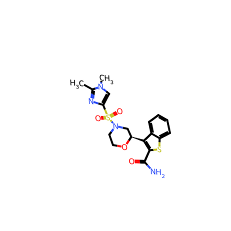 Cc1nc(S(=O)(=O)N2CCO[C@H](c3c(C(N)=O)sc4ccccc34)C2)cn1C